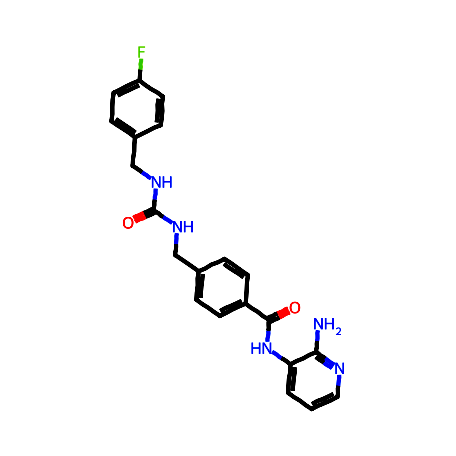 Nc1ncccc1NC(=O)c1ccc(CNC(=O)NCc2ccc(F)cc2)cc1